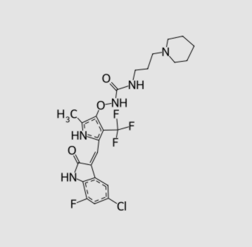 Cc1[nH]c(/C=C2\C(=O)Nc3c(F)cc(Cl)cc32)c(C(F)(F)F)c1ONC(=O)NCCCN1CCCCC1